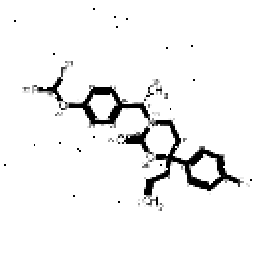 C=CCC1(c2ccc(F)cc2)CCN([C@@H](C)c2ccc(OC(F)F)cc2)C(=O)O1